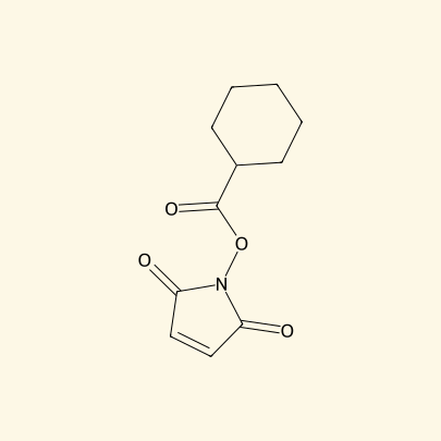 O=C(ON1C(=O)C=CC1=O)C1CCCCC1